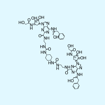 O=C(CO)N[C@H]1C[C@@H](n2cnc3c(N[C@H](CO)Cc4ccccc4)nc(C(=O)NCCNC(=O)NC4CCC(NC(=O)NCCNC(=O)c5nc(N[C@H](CO)Cc6ccccc6)c6ncn([C@@H]7C[C@H](NC(=O)CO)[C@@H](O)[C@H]7O)c6n5)CC4)nc32)[C@H](O)[C@@H]1O